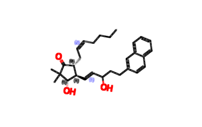 CCCC/C=C\C[C@H]1C(=O)C(C)(C)[C@@H](O)[C@@H]1/C=C/C(O)CCc1ccc2ccccc2c1